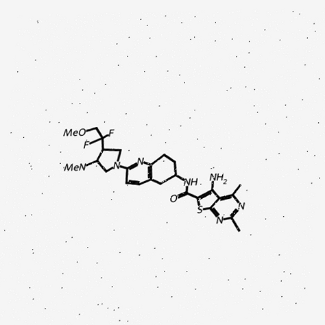 CNC1CN(c2ccc3c(n2)CCC(NC(=O)c2sc4nc(C)nc(C)c4c2N)C3)CC1C(F)(F)COC